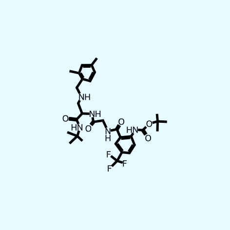 Cc1ccc(CNCC(NC(=O)CNC(=O)c2cc(C(F)(F)F)ccc2NC(=O)OC(C)(C)C)C(=O)NC(C)(C)C)c(C)c1